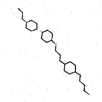 CCCCCC1CCC(CCCOC2CCC([C@H]3CC[C@H](CCC)CC3)CC2)CC1